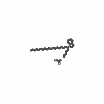 CC(=O)O.CCCCCCCCCCCCCCCCCCC(CCCCC)N1CCc2ccccc21